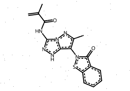 C=C(C)C(=O)Nc1n[nH]c2c(-n3sc4ccccc4c3=O)c(C)nn12